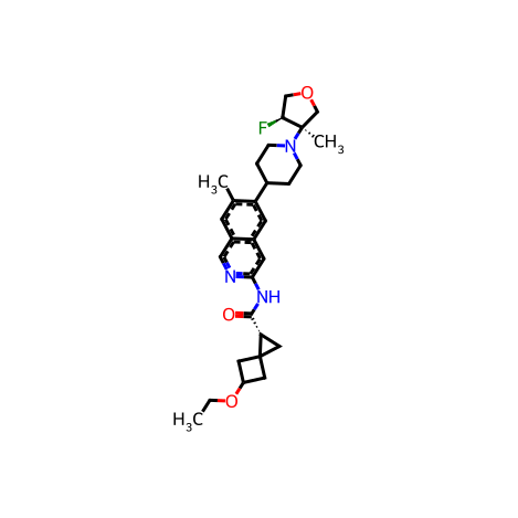 CCOC1CC2(C1)C[C@H]2C(=O)Nc1cc2cc(C3CCN([C@]4(C)COC[C@@H]4F)CC3)c(C)cc2cn1